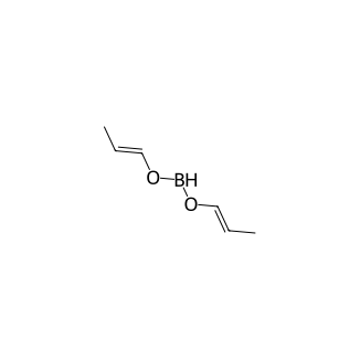 CC=COBOC=CC